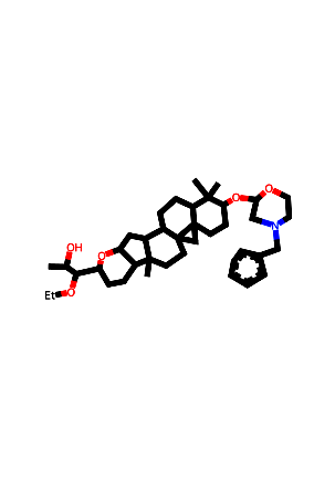 CCOC(C(C)O)C1CCC2C(CC3C4CCC5C(C)(C)C(OC6CN(Cc7ccccc7)CCO6)CCC56CC46CCC23C)O1